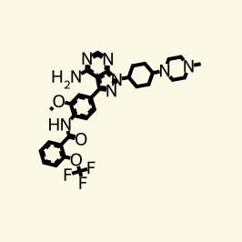 COc1cc(-c2nn(C3CCC(N4CCN(C)CC4)CC3)c3ncnc(N)c23)ccc1NC(=O)c1ccccc1OC(F)(F)F